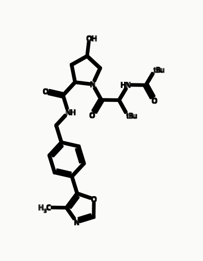 Cc1ncoc1-c1ccc(CNC(=O)C2CC(O)CN2C(=O)C(NC(=O)C(C)(C)C)C(C)(C)C)cc1